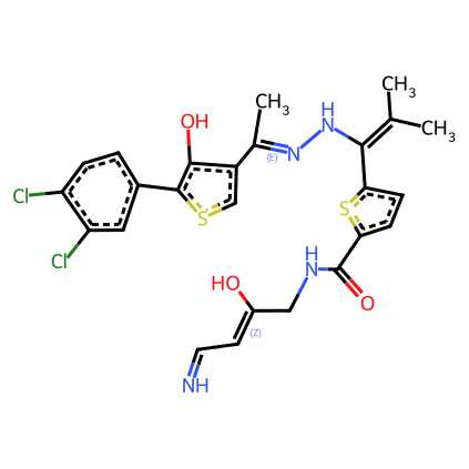 CC(C)=C(N/N=C(\C)c1csc(-c2ccc(Cl)c(Cl)c2)c1O)c1ccc(C(=O)NC/C(O)=C/C=N)s1